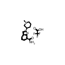 CN1CCCC(n2cc3cccc(C(N)=O)c3n2)C1.O=C(O)C(F)(F)F